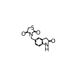 O=C1Cc2cc(CN3C(=O)CSC3=O)ccc2N1